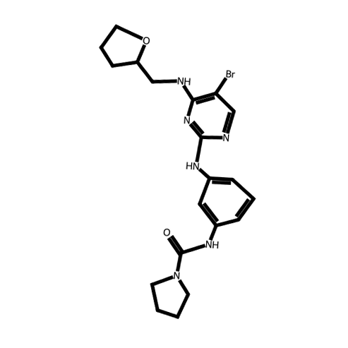 O=C(Nc1cccc(Nc2ncc(Br)c(NCC3CCCO3)n2)c1)N1CCCC1